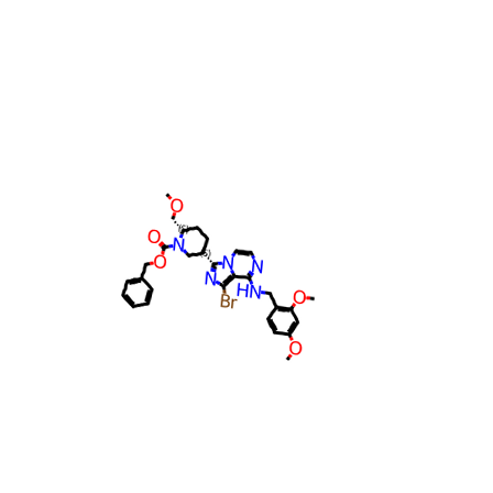 COC[C@@H]1CC[C@H](c2nc(Br)c3c(NCc4ccc(OC)cc4OC)nccn23)CN1C(=O)OCc1ccccc1